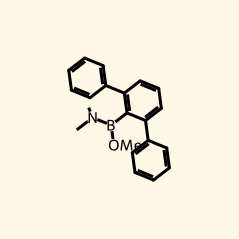 COB(c1c(-c2ccccc2)cccc1-c1ccccc1)N(C)C